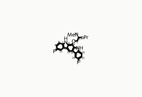 CCCC(COc1c2[nH]c3ccc(F)cc3c2cc2c1[nH]c1ccc(F)cc12)NC